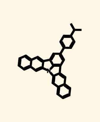 CC(C)c1ccc(-c2cc3c4cc5ccccc5cc4n4c5cc6ccccc6cc5c(c2)c34)cc1